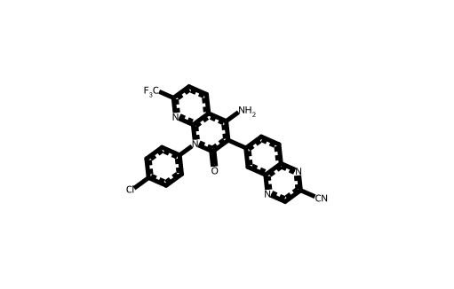 N#Cc1cnc2cc(-c3c(N)c4ccc(C(F)(F)F)nc4n(-c4ccc(Cl)cc4)c3=O)ccc2n1